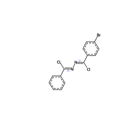 Cl/C(=N\N=C(/Cl)c1ccc(Br)cc1)c1ccccc1